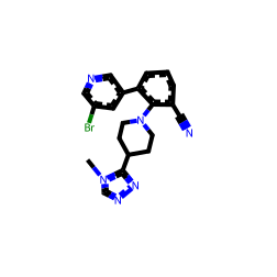 Cn1cnnc1C1CCN(c2c(C#N)cccc2-c2cncc(Br)c2)CC1